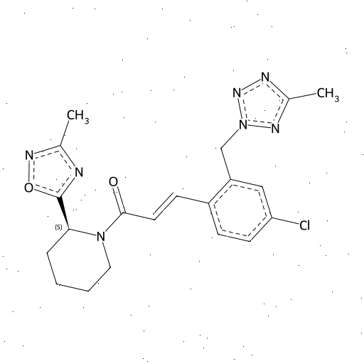 Cc1noc([C@@H]2CCCCN2C(=O)C=Cc2ccc(Cl)cc2Cn2nnc(C)n2)n1